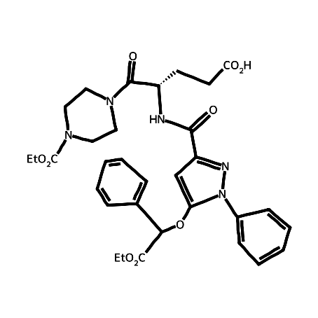 CCOC(=O)C(Oc1cc(C(=O)N[C@@H](CCC(=O)O)C(=O)N2CCN(C(=O)OCC)CC2)nn1-c1ccccc1)c1ccccc1